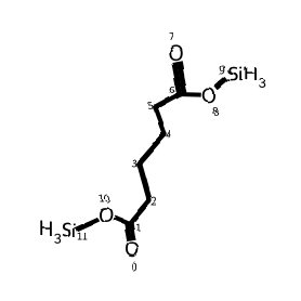 O=C(CCCCC(=O)O[SiH3])O[SiH3]